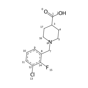 O=C(O)C1CCN(Cc2cccc(Cl)c2F)CC1